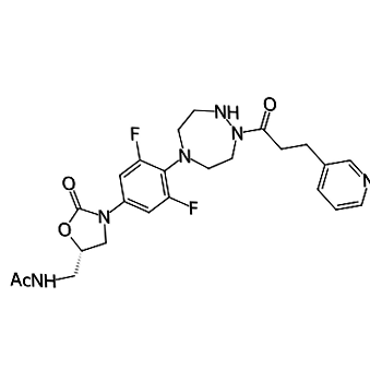 CC(=O)NC[C@H]1CN(c2cc(F)c(N3CCNN(C(=O)CCc4cccnc4)CC3)c(F)c2)C(=O)O1